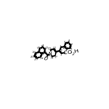 O=C(O)CC(Cc1ccccc1)C1=CCN(C(=O)c2cccc3ccccc23)CC1